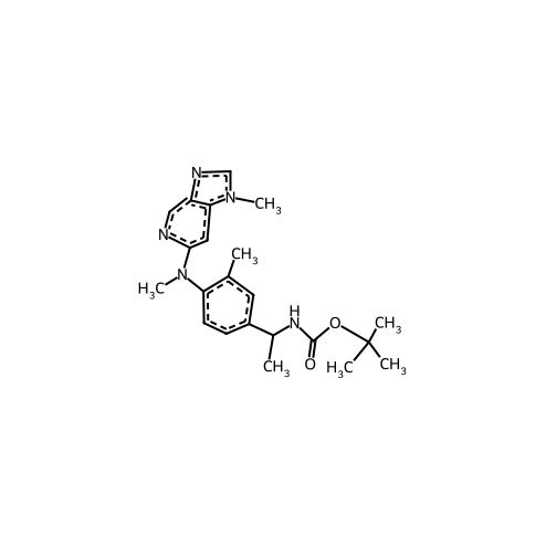 Cc1cc(C(C)NC(=O)OC(C)(C)C)ccc1N(C)c1cc2c(cn1)ncn2C